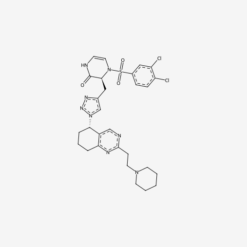 O=C1NC=CN(S(=O)(=O)c2ccc(Cl)c(Cl)c2)[C@H]1Cc1cn([C@H]2CCCc3nc(CCN4CCCCC4)ncc32)nn1